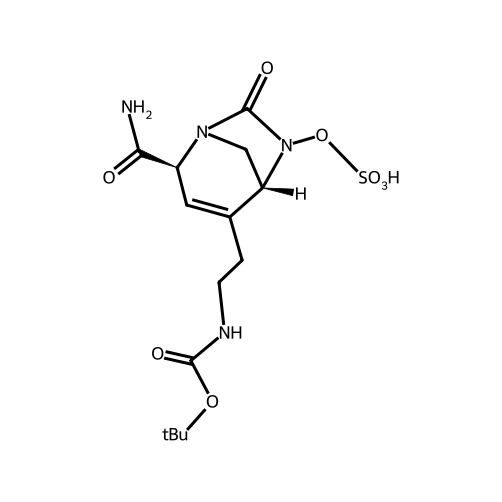 CC(C)(C)OC(=O)NCCC1=C[C@@H](C(N)=O)N2C[C@@H]1N(OS(=O)(=O)O)C2=O